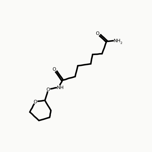 NC(=O)CCCCCC(=O)NOC1CCCCO1